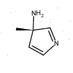 C[C@]1(N)C=CN=C1